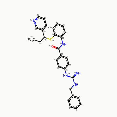 N=C(NCc1ccccc1)Nc1ccc(C(=O)Nc2ccccc2SC(CC(=O)O)c2cccnc2)cc1